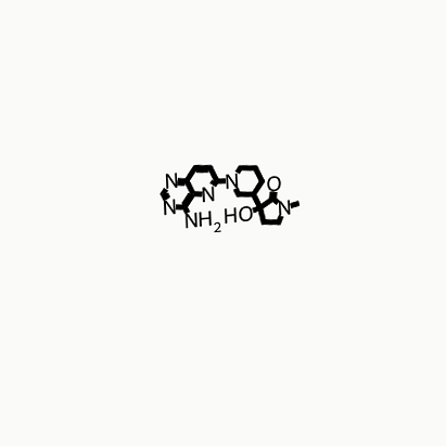 CN1CCC(O)(C2CCCN(c3ccc4ncnc(N)c4n3)C2)C1=O